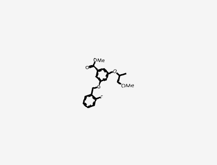 COCC(C)Oc1cc(OCc2ccccc2F)cc(C(=O)OC)c1